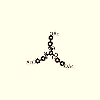 CC(=O)Oc1ccc(-c2ccc(OC(=O)c3cc(C(=O)Oc4ccc(-c5ccc(OC(C)=O)cc5)cc4)cc(C(=O)Oc4ccc(-c5ccc(OC(C)=O)cc5)cc4)c3)cc2)cc1